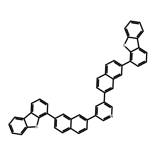 c1ccc2c(c1)sc1c(-c3ccc4ccc(-c5cncc(-c6ccc7ccc(-c8cccc9c8sc8ccccc89)cc7c6)c5)cc4c3)cccc12